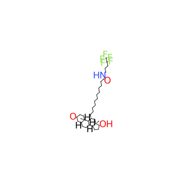 C[C@]12CCC(=O)C[C@@H]1CC[C@@H]1[C@@H]2[C@@H](CCCCCCCCCCCC(=O)NCCCC(F)(F)C(F)(F)F)C[C@]2(C)[C@@H](O)CC[C@@H]12